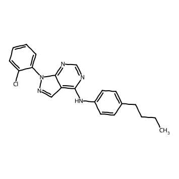 CCCCc1ccc(Nc2ncnc3c2cnn3-c2ccccc2Cl)cc1